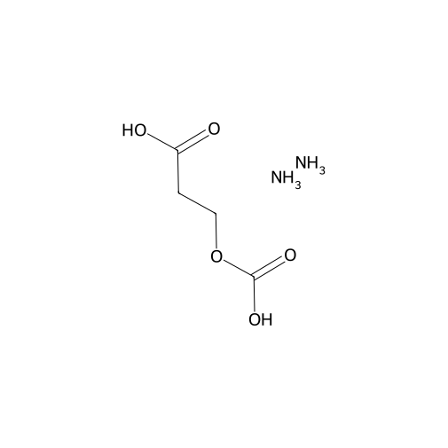 N.N.O=C(O)CCOC(=O)O